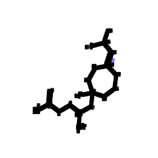 C=C(CC)CCN(CCC)CC1(F)CCC/C(=C/C(C)I)CC1